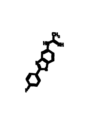 CC(=N)Nc1ccc2sc(-c3ccc(F)cc3)nc2c1